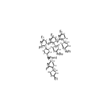 CCCCCc1ccc(-c2ccc(F)nc2F)cc1.CCCCc1ccc(-c2ccc(F)nc2F)cc1.CCCc1ccc(-c2ccc(F)nc2F)cc1.CCc1ccc(-c2ccc(F)nc2F)cc1